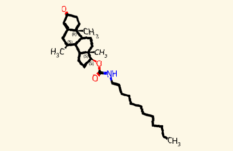 CCCCCCCCCCCCNC(=O)O[C@H]1CCC2C3C(CC[C@@]21C)[C@@]1(C)CCC(=O)C=C1C[C@@H]3C